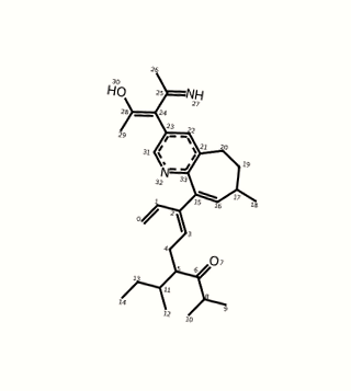 C=C/C(=C\CC(C(=O)C(C)C)C(C)CC)C1=CC(C)CCc2cc(/C(C(C)=N)=C(\C)O)cnc21